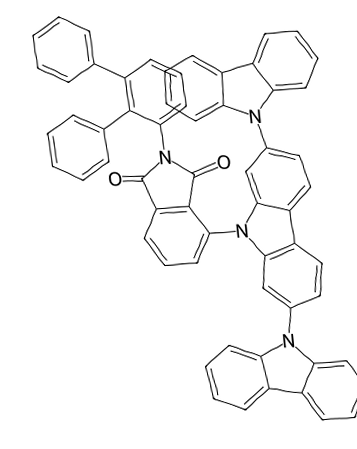 O=C1c2cccc(-n3c4cc(-n5c6ccccc6c6ccccc65)ccc4c4ccc(-n5c6ccccc6c6ccccc65)cc43)c2C(=O)N1c1cccc(-c2ccccc2)c1-c1ccccc1